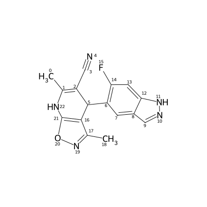 CC1=C(C#N)C(c2cc3cn[nH]c3cc2F)c2c(C)noc2N1